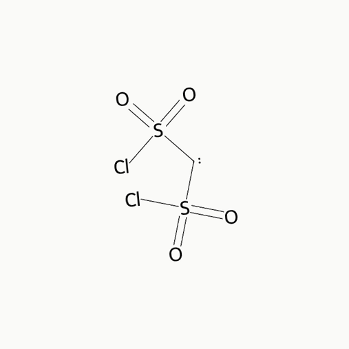 O=S(=O)(Cl)[C]S(=O)(=O)Cl